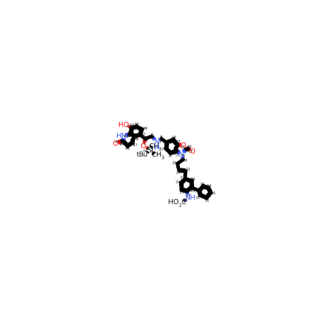 CC(C)(C)[Si](C)(C)OC(CNCc1ccc2c(c1)oc(=O)n2CC/C=C/c1ccc(NC(=O)O)c(-c2ccccc2)c1)c1ccc(O)c2[nH]c(=O)ccc12